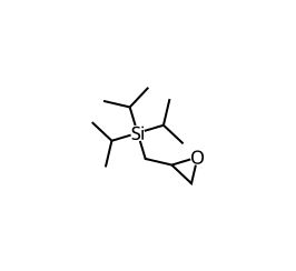 CC(C)[Si](CC1CO1)(C(C)C)C(C)C